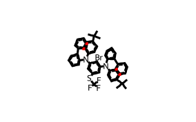 CC(C)(C)c1ccc(N(c2ccccc2-c2ccccc2)c2cc(SC(F)(F)F)cc(N(c3ccc(C(C)(C)C)cc3)c3ccccc3-c3ccccc3)c2Br)cc1